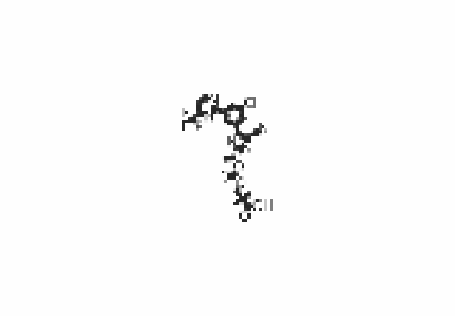 CC(OC(=O)OCC(C)(C)C(=O)O)n1nc(C#N)c(-c2cc(Cl)cc(-c3nccc(C(F)(F)F)n3)c2)n1